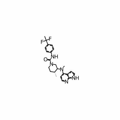 C[C@@H]1CCN(C(=O)Nc2ccc(C(C)(F)F)cc2)CC1N(C)c1ccnc2[nH]ccc12